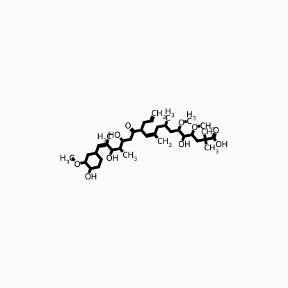 C=CCC(C=C(C)CC(C)CC(OC)C(O)C(CC(C)(C)C(=O)O)OC)C(=O)CC(O)C(C)C(O)C(C)=CC1CCC(O)C(OC)C1